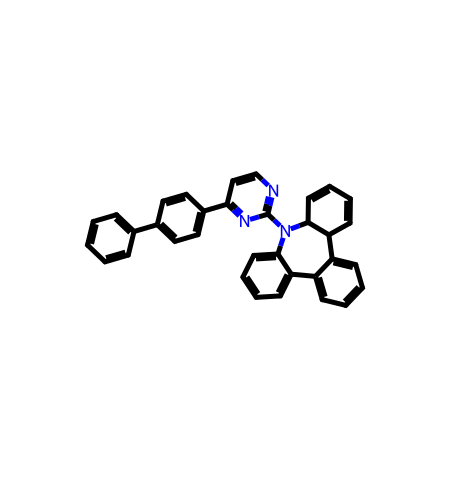 C1=CC2c3ccccc3-c3ccccc3N(c3nccc(-c4ccc(-c5ccccc5)cc4)n3)C2C=C1